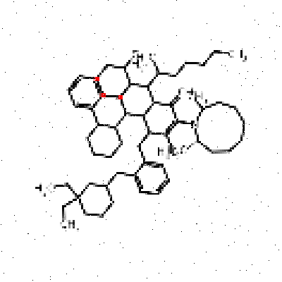 C=C1C(N2C(C)CCCCCC[C@@H]2C)=C(C)C(Cc2ccccc2CC2CCCC(CC)(CC)C2)C(C2Cc3ccccc3C3CCCCC32)C1C(C(C)CCCCC)C1CCCCC1C